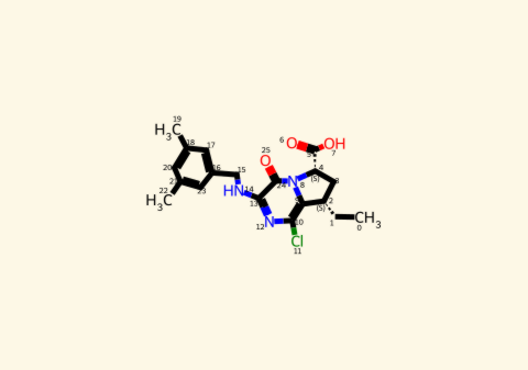 CC[C@H]1C[C@@H](C(=O)O)n2c1c(Cl)nc(NCc1cc(C)cc(C)c1)c2=O